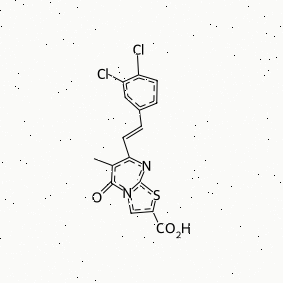 Cc1c(/C=C/c2ccc(Cl)c(Cl)c2)nc2sc(C(=O)O)cn2c1=O